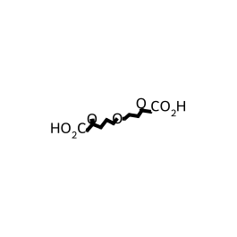 O=C(O)CC(=O)CCCOCCCC(=O)CC(=O)O